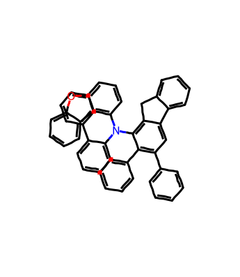 c1ccc(-c2ccccc2N(c2c3c(cc(-c4ccccc4)c2-c2ccccc2)-c2ccccc2C3)c2cccc3oc4ccccc4c23)cc1